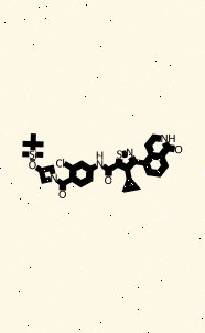 CC(C)(C)[Si](C)(C)OC1CN(C(=O)c2ccc(NC(=O)c3snc(-c4cccc5c(=O)[nH]ccc45)c3C3CC3)cc2Cl)C1